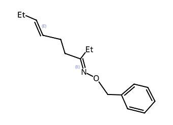 CC/C=C/CC/C(CC)=N/OCc1ccccc1